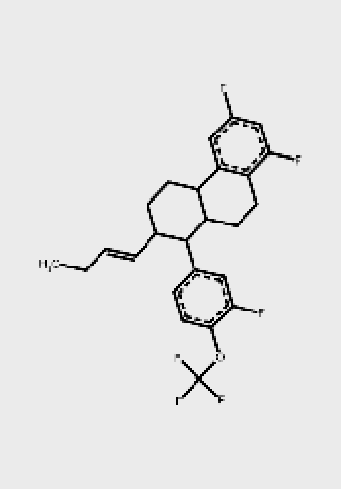 CCC=CC1CCC2c3cc(F)cc(F)c3CCC2C1c1ccc(OC(F)(F)F)c(F)c1